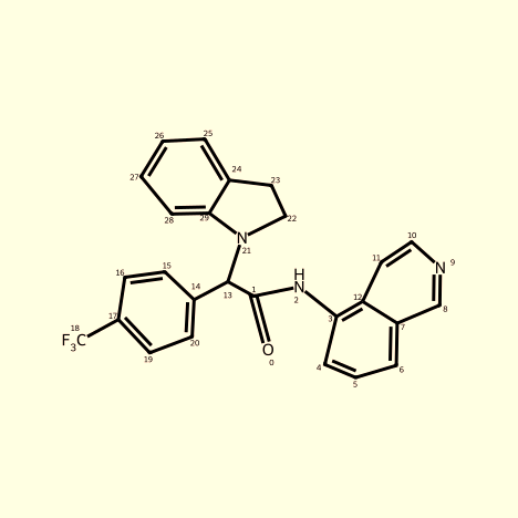 O=C(Nc1cccc2cnccc12)C(c1ccc(C(F)(F)F)cc1)N1CCc2ccccc21